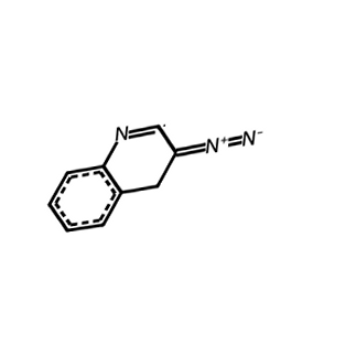 [N-]=[N+]=C1[C]=Nc2ccccc2C1